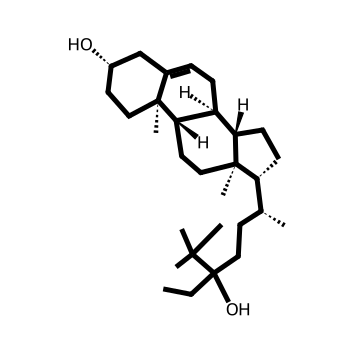 CCC(O)(CC[C@@H](C)[C@H]1CC[C@H]2[C@@H]3CC=C4C[C@@H](O)CC[C@]4(C)[C@H]3CC[C@]12C)C(C)(C)C